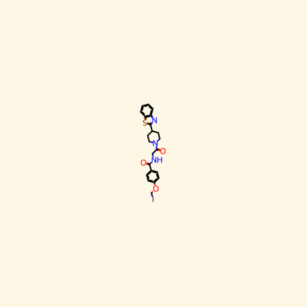 O=C(NCC(=O)N1CCC(c2nc3ccccc3s2)CC1)c1ccc(OCI)cc1